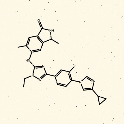 CCn1nc(-c2ccc(-n3cnc(C4CC4)c3)c(C)c2)nc1Nc1cc2c(cc1C)C(=O)NC2C